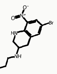 CCCNC1CNc2c(cc(Br)cc2[N+](=O)[O-])C1